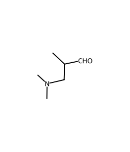 CC(C=O)CN(C)C